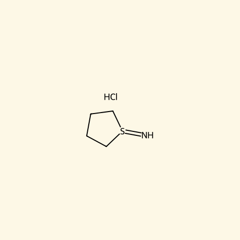 Cl.N=S1CCCC1